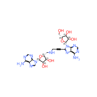 Nc1ncnc2c1ncn2[C@@H]1O[C@H](CNCC#Cc2nc3c(N)ncnc3n2[C@@H]2O[C@H](CO)[C@@H](O)[C@H]2O)[C@@H](O)[C@H]1O